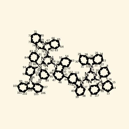 c1ccc([Si](c2ccccc2)(c2ccccc2)c2nc(-n3c4ccccc4c4ccccc43)nc(-n3c4ccccc4c4cc(-c5cccc6c5c5ccccc5n6-c5nc(-n6c7ccccc7n7c8ccccc8nc67)nc([Si](c6ccccc6)(c6ccccc6)c6cccc(-n7c8ccccc8c8ccccc87)c6)n5)ccc43)n2)cc1